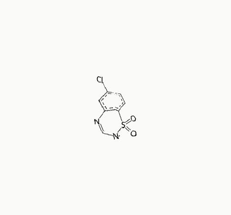 O=S1(=O)[N]C=Nc2cc(Cl)ccc21